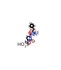 CCN(NC(=O)[C@@H]1CC[C@@H]2CN1C(=O)N2OS(=O)(=O)O)C(=O)Cc1ccccc1